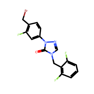 O=c1n(Cc2c(F)cccc2F)cnn1-c1ccc(CBr)c(F)c1